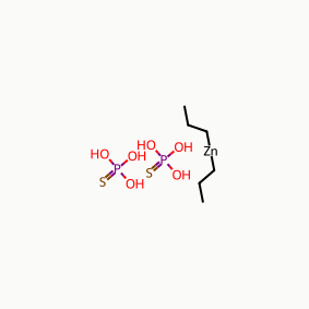 CC[CH2][Zn][CH2]CC.OP(O)(O)=S.OP(O)(O)=S